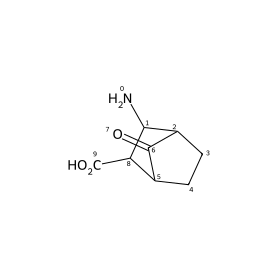 NC1C2CCC(C2=O)C1C(=O)O